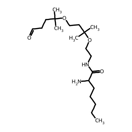 CCCCCC(N)C(=O)NCCOC(C)(C)CCOC(C)(C)CCC=O